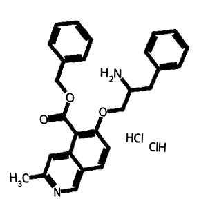 Cc1cc2c(C(=O)OCc3ccccc3)c(OCC(N)Cc3ccccc3)ccc2cn1.Cl.Cl